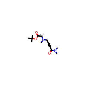 C[C@@H](C(=O)OC(C)(C)C)N(C)CC#CC(=O)N(C)C